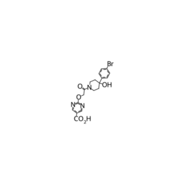 O=C(O)c1cnc(OCC(=O)N2CCC(O)(c3ccc(Br)cc3)CC2)nc1